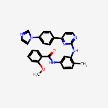 COc1ccccc1C(=O)Nc1ccc(C)c(Nc2nccc(-c3ccc(-n4ccnc4)cc3)n2)c1